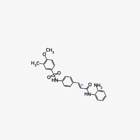 COc1ccc(S(=O)(=O)Nc2ccc(/C=C/C(=O)Nc3ccccc3N)cc2)cc1C